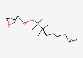 CCCCCCCCCCCCCCC(C)(C)C(C)(C)OOCC1CO1